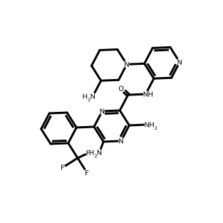 Nc1nc(N)c(-c2ccccc2C(F)(F)F)nc1C(=O)Nc1cnccc1N1CCCC(N)C1